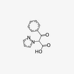 O=C(O)C(C(=O)c1ccccc1)n1cccn1